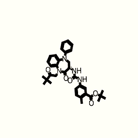 Cc1ccc(NC(=O)N[C@@H]2CN(c3ccccc3)c3ccccc3N(CC(=O)C(C)(C)C)C2=O)cc1C(=O)OC(C)(C)C